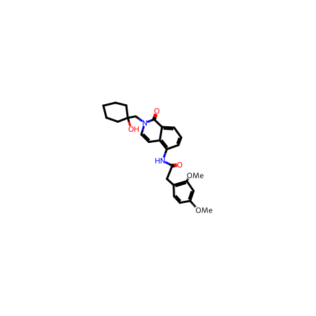 COc1ccc(CC(=O)Nc2cccc3c(=O)n(CC4(O)CCCCC4)ccc23)c(OC)c1